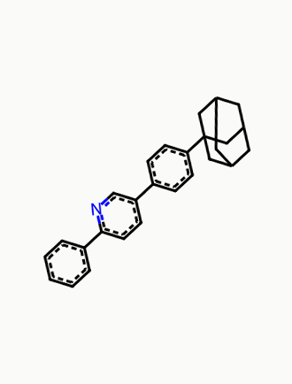 c1ccc(-c2ccc(-c3ccc(C45CC6CC(CC(C6)C4)C5)cc3)cn2)cc1